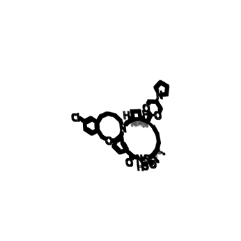 C[C@@H]1[C@@H](C)CCC[C@H]([C@H]2OC[C@@H](N3CCCC3)CO2)[C@@H]2CC[C@H]2CN2CCCCc3cc(Cl)ccc3COc3ccc(cc32)C(=O)NS1(=O)=O